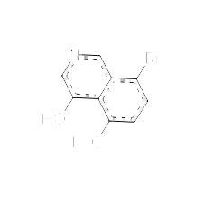 Cc1ccc(Br)c2cncc(O)c12